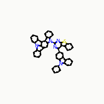 c1ccc(-n2c3ccccc3c3cc(-c4nc(-n5c6ccccc6c6c7c8ccccc8n8c9ccccc9c(cc65)c78)nc5sc6ccccc6c45)ccc32)cc1